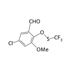 COc1cc(Cl)cc(C=O)c1OSC(F)(F)F